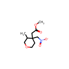 COC(=O)CC1(C[N+](=O)[O-])CCOCC1C